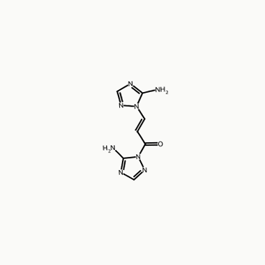 Nc1ncnn1C=CC(=O)n1ncnc1N